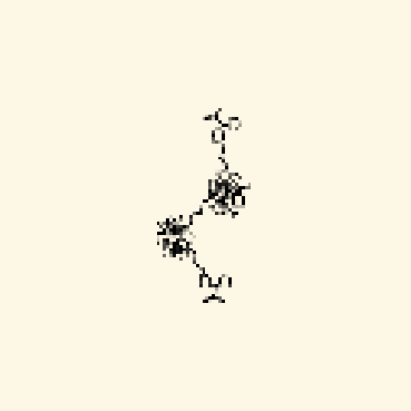 C=C(C)C(=O)OCCC[SiH]1O[SiH](C)O[SiH](C)O[Si](C)(CCCC[SiH]2O[SiH](C)O[SiH](C)O[Si](C)(CCCOC(=O)C(=C)C)O2)O1